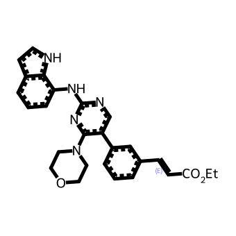 CCOC(=O)/C=C/c1cccc(-c2cnc(Nc3cccc4cc[nH]c34)nc2N2CCOCC2)c1